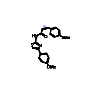 COc1ccc(-c2csc(NC(=O)/C=C\c3ccc(SC)cc3)n2)cc1